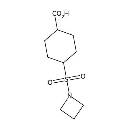 O=C(O)C1CCC(S(=O)(=O)N2CCC2)CC1